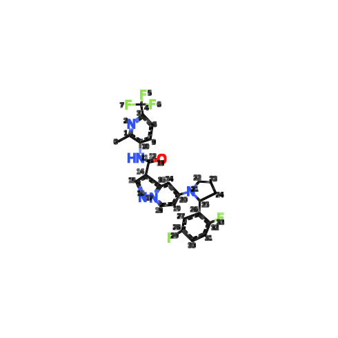 Cc1nc(C(F)(F)F)ccc1NC(=O)c1cnn2ccc(N3CCCC3c3cc(F)ccc3F)cc12